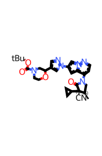 C[C@@H]1CN(c2ccnn3cc(-n4cc(C5CN(C(=O)OC(C)(C)C)CCO5)cn4)cc23)C(=O)[C@]1(C#N)C1CC1